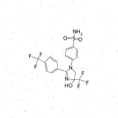 NS(=O)(=O)c1ccc(N2CC(O)(C(F)(F)F)N=C2c2ccc(C(F)(F)F)cc2)cc1